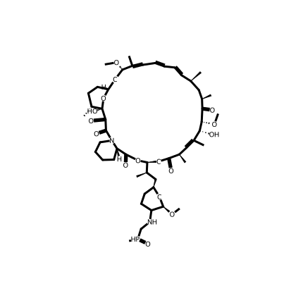 CO[C@H]1C[C@@H]2CC[C@@H](C)[C@@](O)(O2)C(=O)C(=O)N2CCCC[C@H]2C(=O)O[C@H]([C@H](C)C[C@@H]2CCC(NC[PH](C)=O)[C@H](OC)C2)CC(=O)[C@H](C)/C=C(\C)[C@@H](O)[C@@H](OC)C(=O)[C@H](C)C[C@H](C)/C=C/C=C/C=C/1C